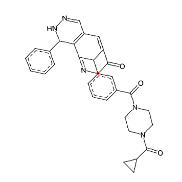 O=C1CN=C2C3=C(C=NNC3c3ccccc3)C=C1C2c1cccc(C(=O)N2CCN(C(=O)C3CC3)CC2)c1